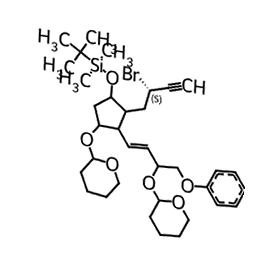 C#C[C@@H](Br)CC1C(O[Si](C)(C)C(C)(C)C)CC(OC2CCCCO2)C1C=CC(COc1ccccc1)OC1CCCCO1